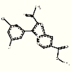 COC(=O)c1cnn2c(-c3cc(Cl)cc(Cl)c3)c(C(C)=O)nc2c1